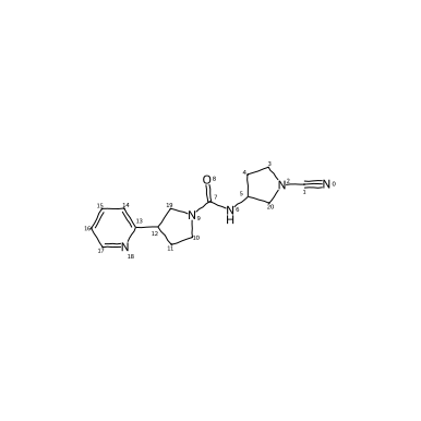 N#CN1CCC(NC(=O)N2CCC(c3ccccn3)C2)C1